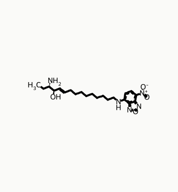 CC[C@H](N)[C@H](O)/C=C/CCCCCCCCCNc1ccc([N+](=O)[O-])c2nonc12